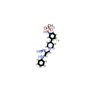 CS(=O)(=O)Nc1ccc(F)c(C2CCN(C/C(=C/Nc3ccccc3)N=N)CC2)c1